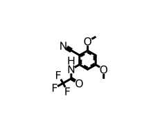 COc1cc(NC(=O)C(F)(F)F)c(C#N)c(OC)c1